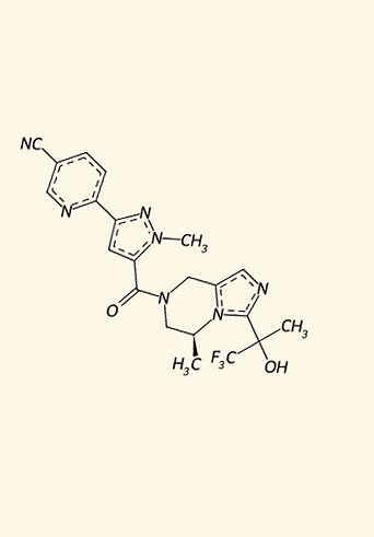 C[C@H]1CN(C(=O)c2cc(-c3ccc(C#N)cn3)nn2C)Cc2cnc(C(C)(O)C(F)(F)F)n21